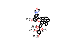 COc1ccc(C2(c3ccc(N4CCOCC4)cc3)C=Cc3c4c(c5cc(-c6c(OC)cc(OC)cc6OC)c(OC)cc5c3O2)-c2ccccc2C42c3cccc4ccc5cccc2c5c34)cc1